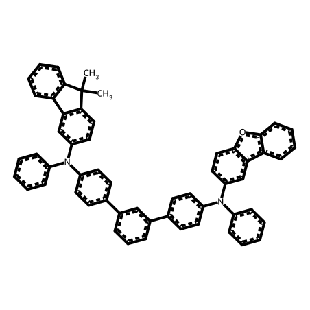 CC1(C)c2ccccc2-c2cc(N(c3ccccc3)c3ccc(-c4cccc(-c5ccc(N(c6ccccc6)c6ccc7oc8ccccc8c7c6)cc5)c4)cc3)ccc21